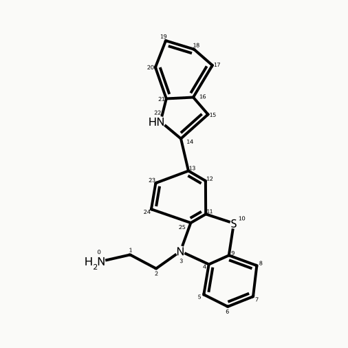 NCCN1c2ccccc2Sc2cc(-c3cc4ccccc4[nH]3)ccc21